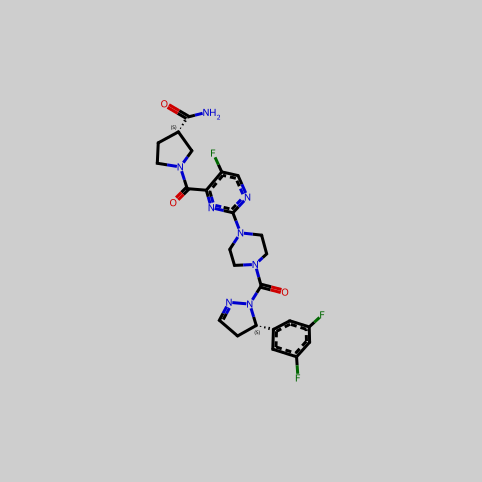 NC(=O)[C@H]1CCN(C(=O)c2nc(N3CCN(C(=O)N4N=CC[C@H]4c4cc(F)cc(F)c4)CC3)ncc2F)C1